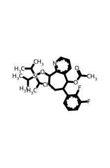 CC(=O)OC1c2cccnc2C(O[Si](C(C)C)(C(C)C)C(C)C)CCC1c1cccc(F)c1F